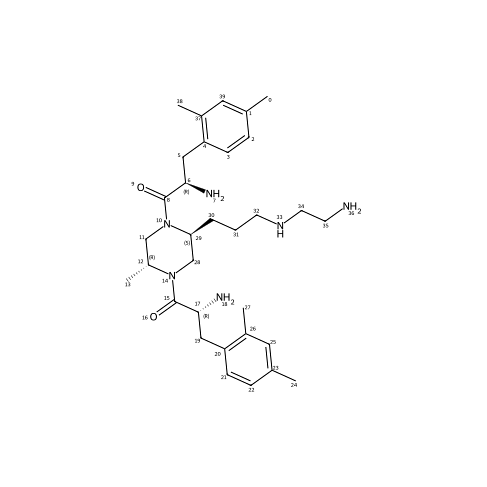 Cc1ccc(C[C@@H](N)C(=O)N2C[C@@H](C)N(C(=O)[C@H](N)Cc3ccc(C)cc3C)C[C@@H]2CCCNCCN)c(C)c1